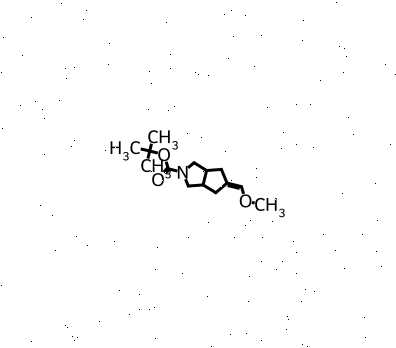 COC=C1CC2CN(C(=O)OC(C)(C)C)CC2C1